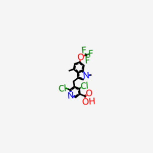 Cc1cc(OC(F)(F)F)cc2c1c(Cc1c(Cl)ncc(C(=O)O)c1Cl)cn2C